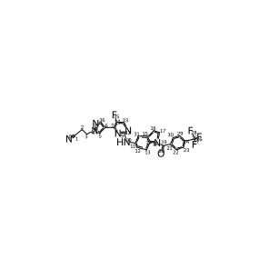 N#CCCn1cc(-c2nc(Nc3ccc4c(ccn4C(=O)c4ccc(C(F)(F)F)cc4)c3)ncc2F)cn1